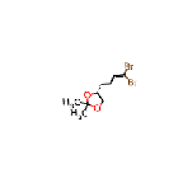 CC1(C)OC[C@@H](CCC=C(Br)Br)O1